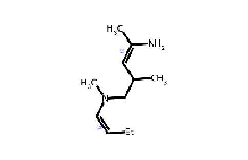 CC/C=C\N(C)CC(C)/C=C(/C)N